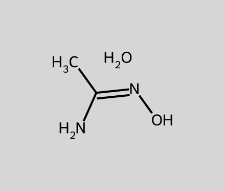 CC(N)=NO.O